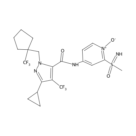 CS(=N)(=O)c1cc(NC(=O)c2c(C(F)(F)F)c(C3CC3)nn2CC2(C(F)(F)F)CCCC2)cc[n+]1[O-]